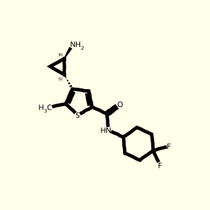 Cc1sc(C(=O)NC2CCC(F)(F)CC2)cc1[C@@H]1C[C@H]1N